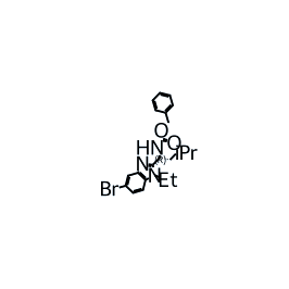 CCn1c([C@@H](CC(C)C)NC(=O)OCc2ccccc2)nc2cc(Br)ccc21